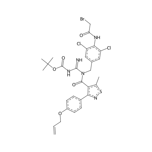 C=CCOc1ccc(-c2nsc(C)c2C(=O)N(Cc2cc(Cl)c(NC(=O)CBr)c(Cl)c2)C(=N)NC(=O)OC(C)(C)C)cc1